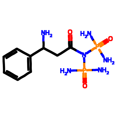 NC(CC(=O)N(P(N)(N)=O)P(N)(N)=O)c1ccccc1